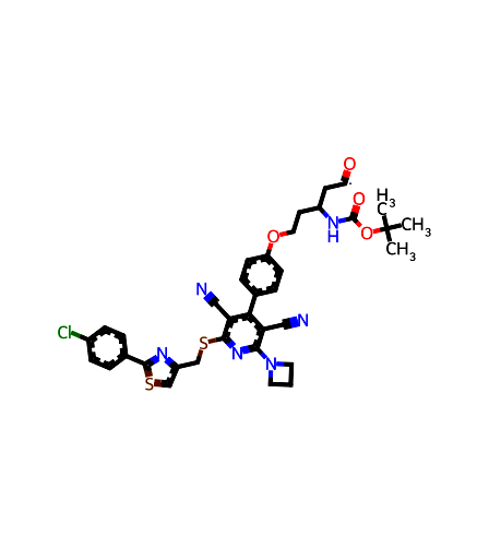 CC(C)(C)OC(=O)NC(C[C]=O)CCOc1ccc(-c2c(C#N)c(SCc3csc(-c4ccc(Cl)cc4)n3)nc(N3CCC3)c2C#N)cc1